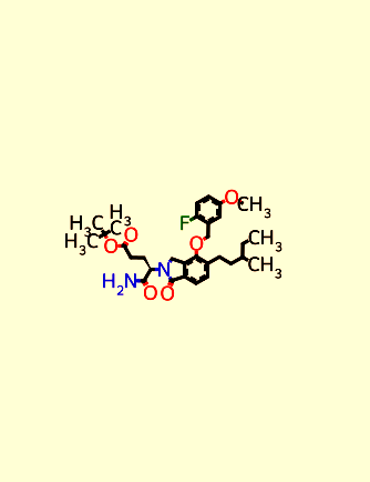 CCC(C)CCc1ccc2c(c1OCc1cc(OC)ccc1F)CN([C@H](CCC(=O)OC(C)(C)C)C(N)=O)C2=O